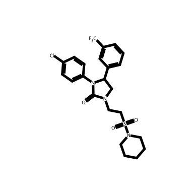 O=C1N(CCS(=O)(=O)N2CCCCC2)CC(c2cccc(C(F)(F)F)c2)N1c1ccc(Cl)cc1